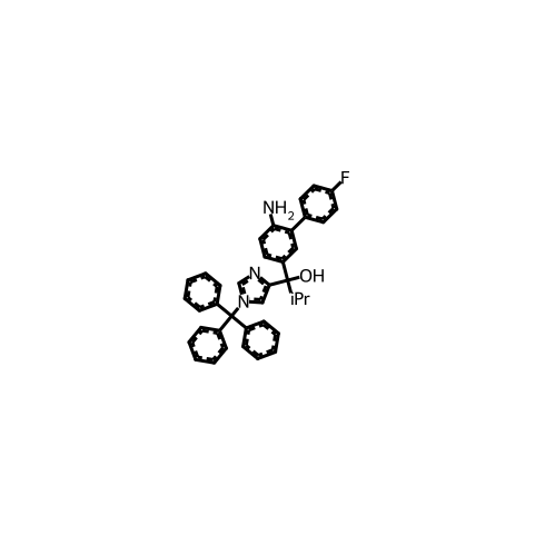 CC(C)C(O)(c1ccc(N)c(-c2ccc(F)cc2)c1)c1cn(C(c2ccccc2)(c2ccccc2)c2ccccc2)cn1